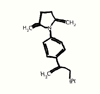 C=C(CC(C)C)c1ccc(N2C(=C)CCC2=C)cc1